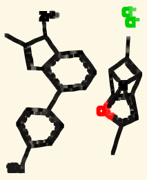 CC1=C2c3cc(C)oc3C1[Si]2(C)C.CC1=Cc2c(-c3ccc(C(C)(C)C)cc3)cccc2[CH]1[Zr+2].[Cl-].[Cl-]